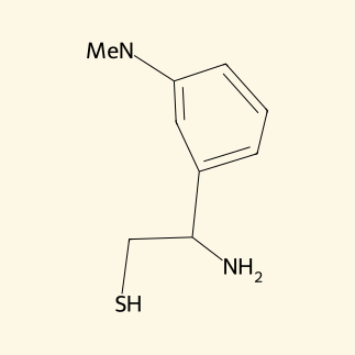 CNc1cccc(C(N)CS)c1